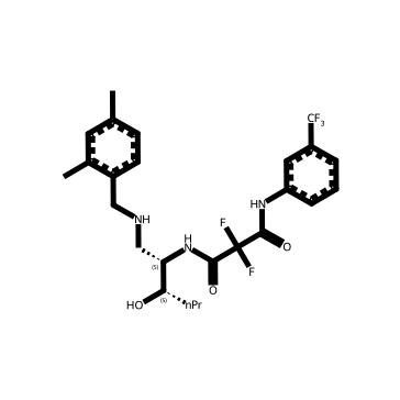 CCC[C@H](O)[C@H](CNCc1ccc(C)cc1C)NC(=O)C(F)(F)C(=O)Nc1cccc(C(F)(F)F)c1